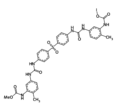 COC(=O)Nc1cc(NC(=O)Nc2ccc(S(=O)(=O)c3ccc(NC(=O)Nc4ccc(C)c(NC(=O)OI)c4)cc3)cc2)ccc1C